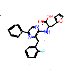 O=C(O)C(Cc1ccco1)Nc1ncc(-c2ccccc2)nc1Cc1ccccc1F